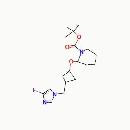 CC(C)(C)OC(=O)N1CCCCC1OC1CC(Cn2cnc(I)c2)C1